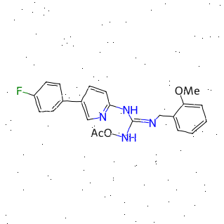 COc1ccccc1CN=C(NOC(C)=O)Nc1ccc(-c2ccc(F)cc2)cn1